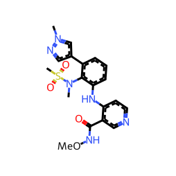 CONC(=O)c1cnccc1Nc1cccc(-c2cnn(C)c2)c1N(C)S(C)(=O)=O